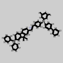 Cc1cc(C)cc(N(c2ccc(/C=C/c3ccc4c(c3)C(C)(C)c3cc(N(c5ccccc5)c5ccccc5)ccc3-4)cc2)c2ccc(-c3ccccc3)cc2)c1